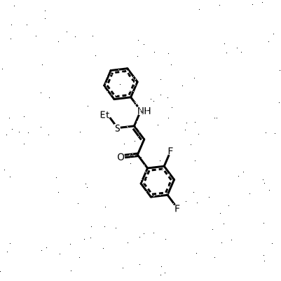 CCS/C(=C\C(=O)c1ccc(F)cc1F)Nc1ccccc1